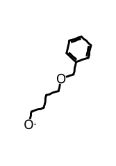 [O]CCCCOCc1ccccc1